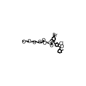 COCCOCCOCCOCC(=O)OCCOC(=O)N(c1ccc(C(=O)c2ccccc2C)c(Cl)c1)c1ccc(Br)cc1C